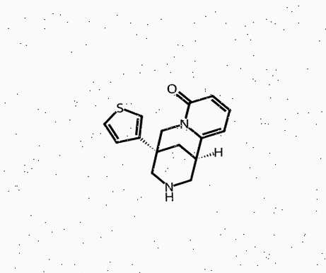 O=c1cccc2n1C[C@]1(c3ccsc3)CNC[C@H]2C1